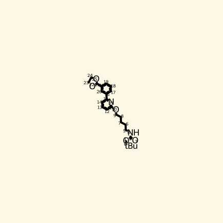 CC(C)(C)OC(=O)NCCCCCOc1cccc(-c2cccc(C3OCCO3)c2)n1